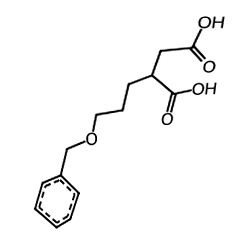 O=C(O)CC(CCCOCc1ccccc1)C(=O)O